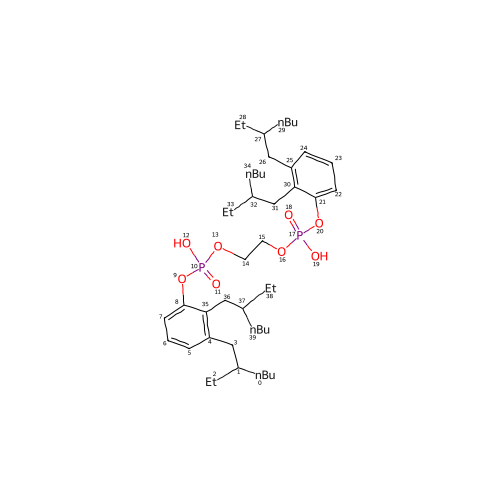 CCCCC(CC)Cc1cccc(OP(=O)(O)OCCOP(=O)(O)Oc2cccc(CC(CC)CCCC)c2CC(CC)CCCC)c1CC(CC)CCCC